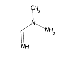 CN(N)C=N